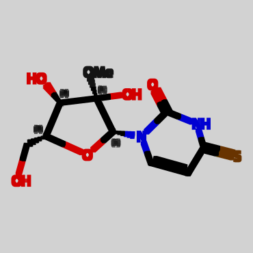 CO[C@@]1(O)[C@H](O)[C@@H](CO)O[C@H]1n1ccc(=S)[nH]c1=O